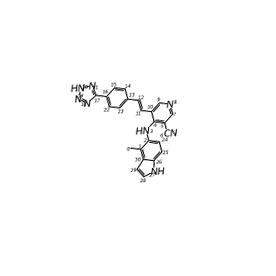 Cc1c(Nc2c(C#N)cncc2C=Cc2ccc(-c3nn[nH]n3)cc2)ccc2[nH]ccc12